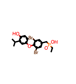 CCP(=O)(O)Cc1cc(Br)c(Oc2ccc(O)c(C(C)C)c2)c(Br)c1